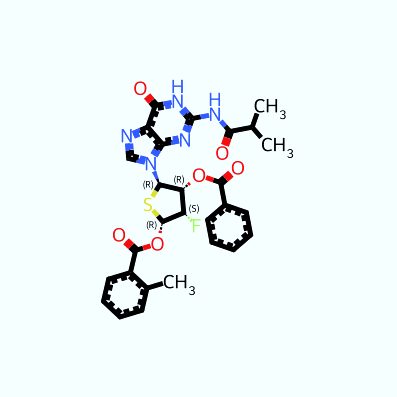 Cc1ccccc1C(=O)O[C@@H]1S[C@@H](n2cnc3c(=O)[nH]c(NC(=O)C(C)C)nc32)[C@H](OC(=O)c2ccccc2)[C@@H]1F